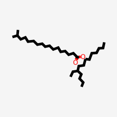 CCCCCCC(CCC(CC)CCCC)OC(=O)CCCCCCCCCCCCCCC(C)C